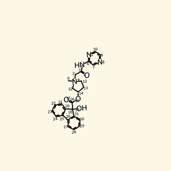 C[N+]1(CC(=O)Nc2cnccn2)CC[C@@H](OC(=O)C2(O)c3ccccc3-c3ccccc32)C1